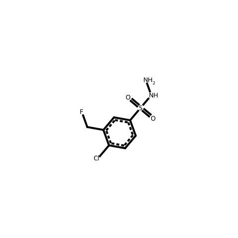 NNS(=O)(=O)c1ccc(Cl)c(CF)c1